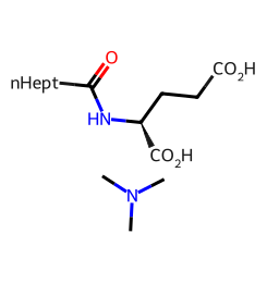 CCCCCCCC(=O)N[C@@H](CCC(=O)O)C(=O)O.CN(C)C